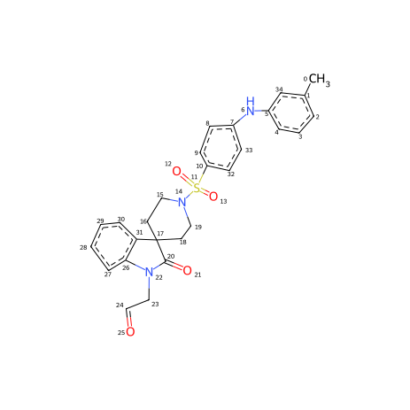 Cc1cccc(Nc2ccc(S(=O)(=O)N3CCC4(CC3)C(=O)N(CC=O)c3ccccc34)cc2)c1